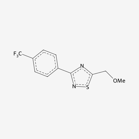 COCc1nc(-c2ccc(C(F)(F)F)cc2)ns1